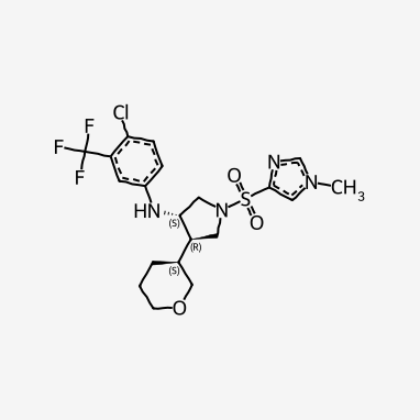 Cn1cnc(S(=O)(=O)N2C[C@@H]([C@@H]3CCCOC3)[C@H](Nc3ccc(Cl)c(C(F)(F)F)c3)C2)c1